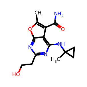 Cc1oc2nc(CCO)nc(NC3(C)CC3)c2c1C(N)=O